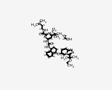 CCOC(C)(C)c1nnc2ccc(O[C@@H]3CC[C@H](NC(=O)Nc4cc(C(C)(C)C)nc(C(=O)NCCN(C)C)n4)c4ccccc43)cn12.O=CO